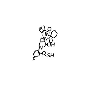 O=C(NC1(C(=O)NC2CCN(c3ccc(F)cc3OCS)CC2O)CCCCC1)c1ccco1